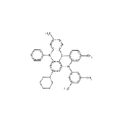 Cc1cc(C)cc(N2c3cc(C)ccc3B3c4ccc(C)cc4N(c4ccccc4)c4cc(C5CCCCC5)cc2c43)c1